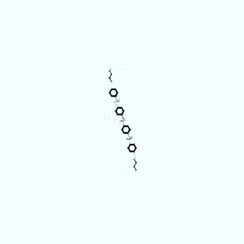 CCOC(=O)CCCCOc1ccc(N=Nc2ccc(N=Nc3ccc(N=Nc4ccc(OCCCCC(=O)OCC)cc4)cc3C)cc2)cc1